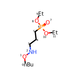 CCCCONCCCP(=O)(OCC)OCC